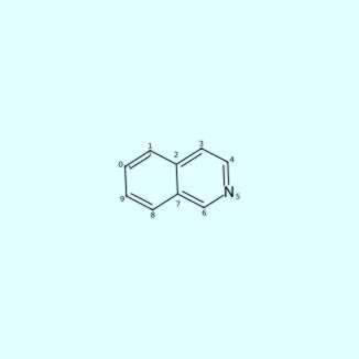 [c]1[c]c2ccncc2cc1